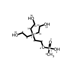 CP(=O)(O)OCC[N+](CCO)(CCO)CCO